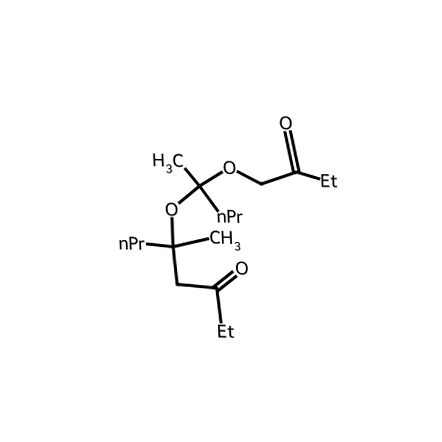 CCCC(C)(CC(=O)CC)OC(C)(CCC)OCC(=O)CC